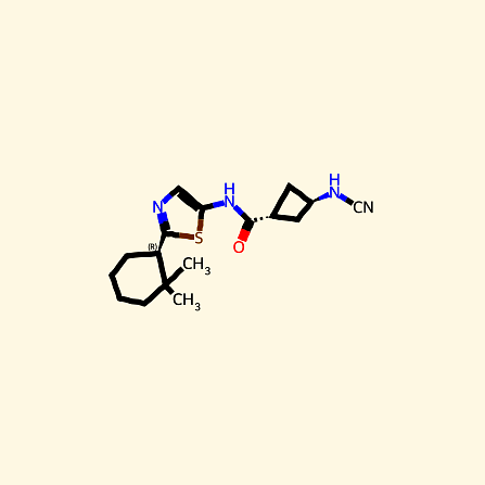 CC1(C)CCCC[C@H]1c1ncc(NC(=O)[C@H]2C[C@H](NC#N)C2)s1